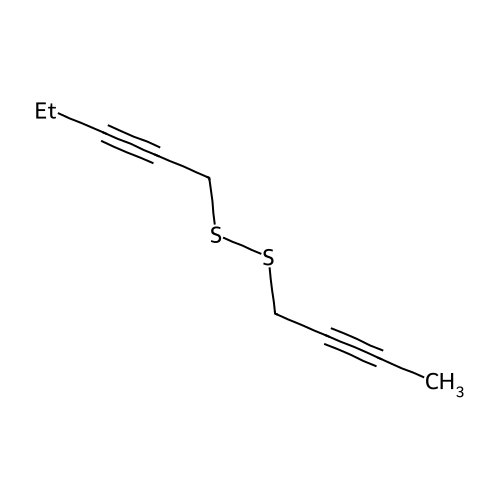 CC#CCSSCC#CCC